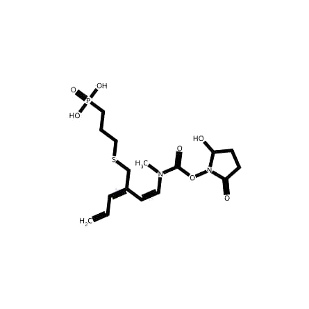 C=C/C=C(\C=C/N(C)C(=O)ON1C(=O)CCC1O)CSCCCP(=O)(O)O